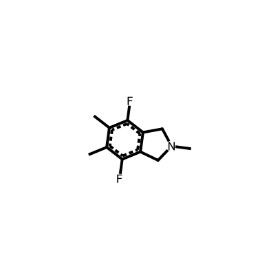 Cc1c(C)c(F)c2c(c1F)CN(C)C2